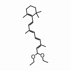 CCOC(C=C(C)C=CC=C(C)C=CC1=C(C)CCCC1(C)C)OCC